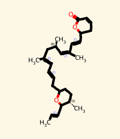 C/C=C/C1OC(C/C=C/C=C(\C)C[C@@H](C)/C=C(C)\C=C\C2CC=CC(=O)O2)CC[C@@H]1C